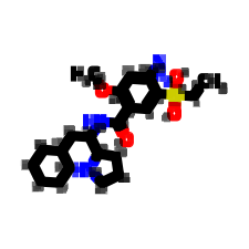 CCS(=O)(=O)c1cc(C(=O)NC(CC2CCCCC2)C2CCCN2)c(OC)cc1N